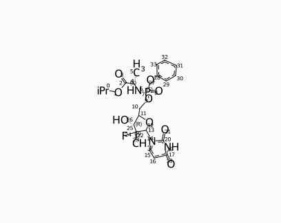 CC(C)OC(=O)[C@H](C)N[P@](=O)(OCC1OC(n2ccc(=O)[nH]c2=O)[C@](C)(F)[C@@H]1O)Oc1ccccc1